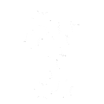 O=C(O)CN(CCNC(=O)OCC1c2ccccc2-c2ccccc21)C(=O)OC1c2ccccc2-c2ccccc21